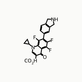 O=C(O)c1cn(C2CC2)c2c(F)c(-c3ccc4c(c3)CNC4)c(F)c(F)c2c1=O